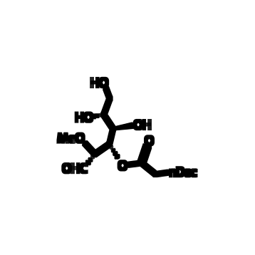 CCCCCCCCCCCC(=O)O[C@@H]([C@H](O)[C@H](O)CO)[C@H](C=O)OC